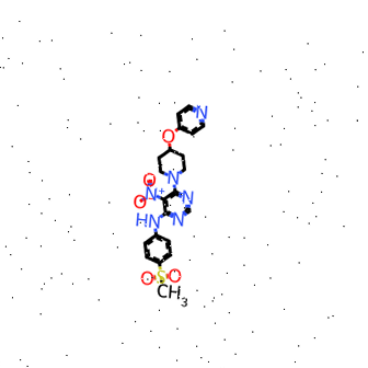 CS(=O)(=O)c1ccc(Nc2ncnc(N3CCC(Oc4ccncc4)CC3)c2[N+](=O)[O-])cc1